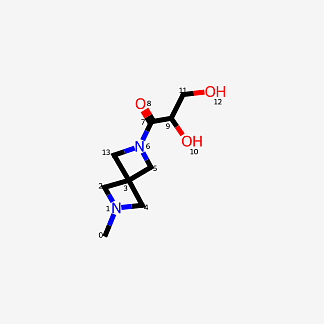 CN1CC2(C1)CN(C(=O)C(O)CO)C2